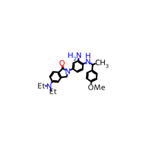 CCN(CC)c1ccc2c(c1)CN(c1ccc(NC(C)c3ccc(OC)cc3)c(N)c1)C2=O